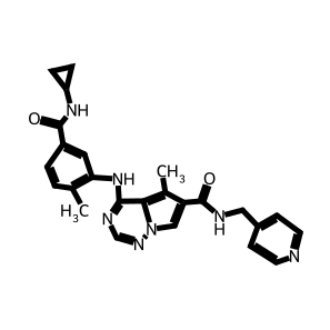 Cc1ccc(C(=O)NC2CC2)cc1Nc1ncnn2cc(C(=O)NCc3ccncc3)c(C)c12